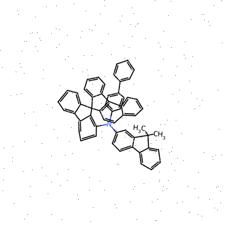 CC1(C)c2ccccc2-c2ccc(N(c3ccc(-c4ccccc4)cc3)c3cccc4c3C3(c5ccccc5-4)c4ccccc4-c4c3ccc3ccccc43)cc21